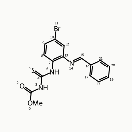 COC(=O)NC(=S)Nc1ccc(Br)cc1N=Cc1ccccc1